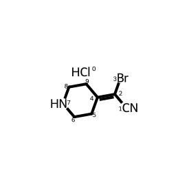 Cl.N#CC(Br)=C1CCNCC1